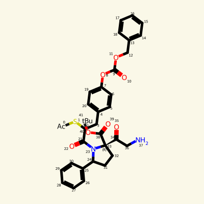 CC(=O)SC(Cc1ccc(OC(=O)OCc2ccccc2)cc1)C(=O)N1C(c2ccccc2)CC[C@@]1(C(=O)CN)C(=O)OC(C)(C)C